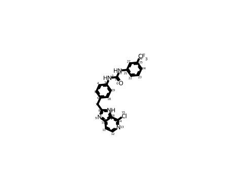 O=C(Nc1ccc(Cc2nc3ccnc(Cl)c3[nH]2)cc1)Nc1cccc(C(F)(F)F)c1